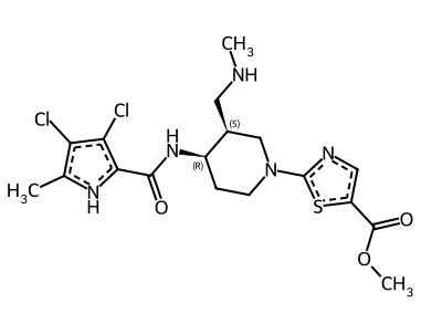 CNC[C@H]1CN(c2ncc(C(=O)OC)s2)CC[C@H]1NC(=O)c1[nH]c(C)c(Cl)c1Cl